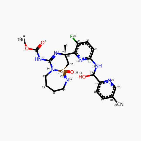 CC(C)(C)OC(=O)NC1=N[C@](C)(c2nc(NC(O)c3ccc(C#N)cn3)ccc2F)C[S@@]2(=O)=NCCCCN12